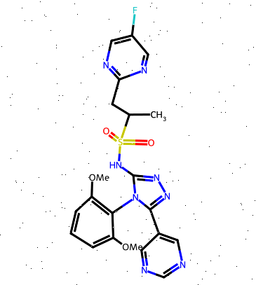 COc1cccc(OC)c1-n1c(NS(=O)(=O)C(C)Cc2ncc(F)cn2)nnc1-c1cncnc1